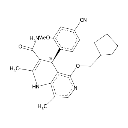 COc1cc(C#N)ccc1[C@@H]1C(C(N)=O)=C(C)Nc2c(C)cnc(OCC3CCCC3)c21